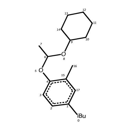 CCC(C)c1ccc(OC(C)OC2CCCCC2)c(C)c1